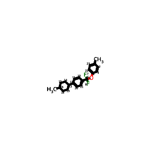 Cc1ccc(OC(F)(F)c2ccc(C3CCC(C)CC3)cc2)cc1